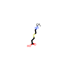 CNCCSCCC(=O)O